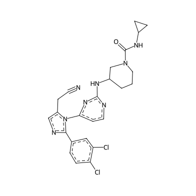 N#CCc1cnc(-c2ccc(Cl)c(Cl)c2)n1-c1ccnc(NC2CCCN(C(=O)NC3CC3)C2)n1